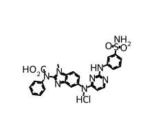 CN(c1ccc2c(c1)nc(N(C(=O)O)c1ccccc1)n2C)c1ccnc(Nc2cccc(S(N)(=O)=O)c2)n1.Cl